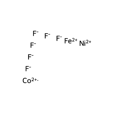 [Co+2].[F-].[F-].[F-].[F-].[F-].[F-].[Fe+2].[Ni+2]